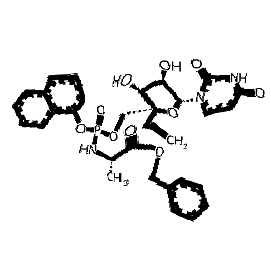 C=C[C@]1(COP(=O)(N[C@@H](C)C(=O)OCc2ccccc2)Oc2cccc3ccccc23)O[C@@H](n2ccc(=O)[nH]c2=O)[C@H](O)[C@@H]1O